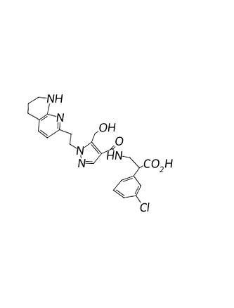 O=C(NCC(C(=O)O)c1cccc(Cl)c1)c1cnn(CCc2ccc3c(n2)NCCC3)c1CO